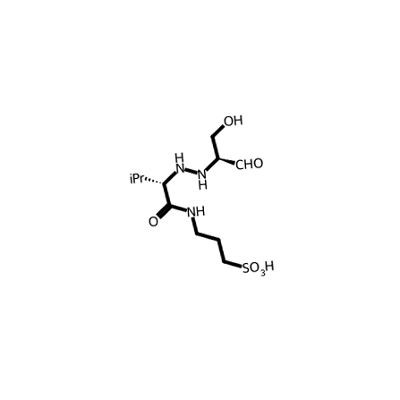 CC(C)[C@H](NN[C@H](C=O)CO)C(=O)NCCCS(=O)(=O)O